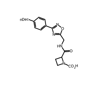 CCCCCCCCCCc1ccc(-c2noc(CNC(=O)C3CCN3C(=O)O)n2)cc1